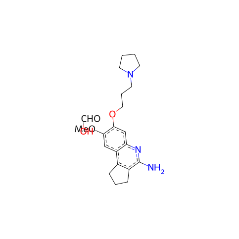 COc1cc2c3c(c(N)nc2cc1OCCCN1CCCC1)CCC3.O=CO